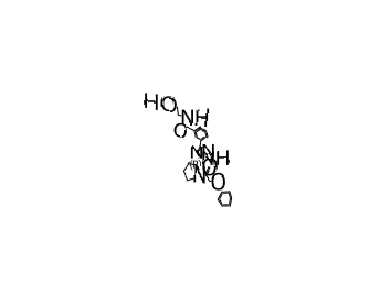 O=C(NCCO)c1cccc(-c2n[nH]c([C@H]3CCCCN3C(=O)COc3ccccc3)n2)c1